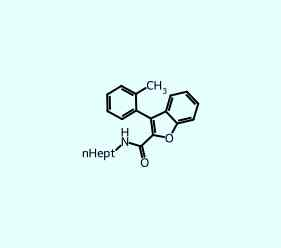 CCCCCCCNC(=O)c1oc2ccccc2c1-c1ccccc1C